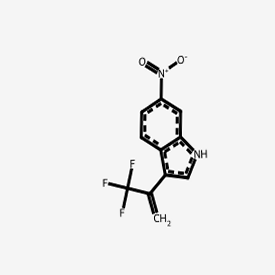 C=C(c1c[nH]c2cc([N+](=O)[O-])ccc12)C(F)(F)F